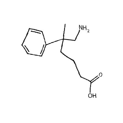 CC(CN)(CCCC(=O)O)c1ccccc1